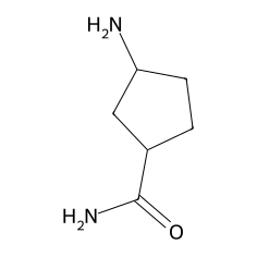 NC(=O)C1CCC(N)C1